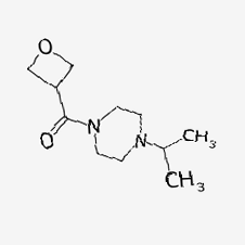 CC(C)N1CCN(C(=O)C2COC2)CC1